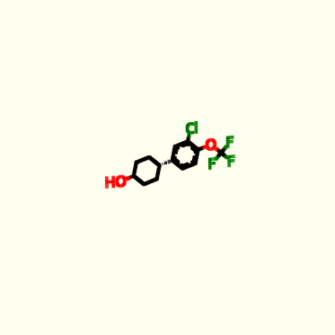 O[C@H]1CC[C@H](c2ccc(OC(F)(F)F)c(Cl)c2)CC1